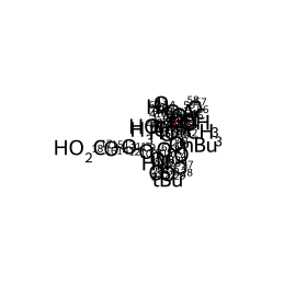 CCCC[C@@H](OC(=O)[C@@H](OC(=O)COCCOCCOCC(=O)O)[C@H](NC(=O)OC(C)(C)C)c1ccccc1)[C@@H]1C([C@H](O)C(=O)[C@@]2(C)[C@H](O)C[C@@H]3OC[C@]3(OC(C)=O)[C@@H]2[C@H](CO)OC(=O)c2ccccc2)C1(C)C